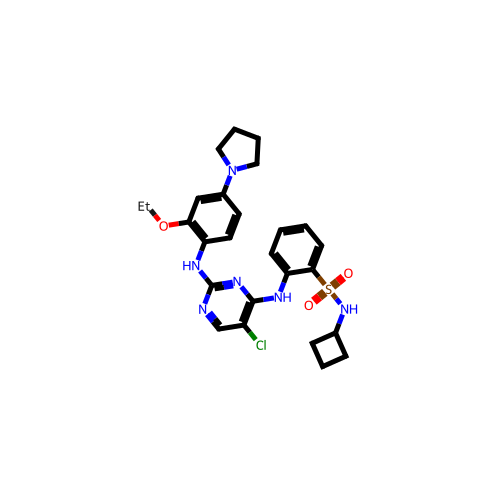 CCOc1cc(N2CCCC2)ccc1Nc1ncc(Cl)c(Nc2ccccc2S(=O)(=O)NC2CCC2)n1